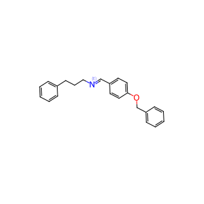 C(=N\CCCc1ccccc1)/c1ccc(OCc2ccccc2)cc1